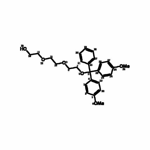 COc1ccc(C(OCCOCCOCCO)(c2ccccc2)c2ccc(OC)cc2)cc1